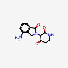 Nc1cccc2c1CN(C1C(=O)CCNC1=O)C2=O